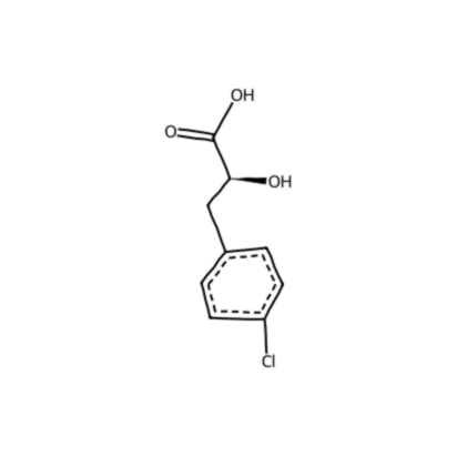 O=C(O)[C@@H](O)Cc1ccc(Cl)cc1